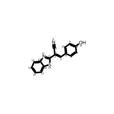 N#CC(=Cc1ccc(O)cc1)c1nc2ccccc2s1